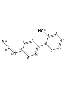 N#Cc1ccccc1-c1ccc(N=C=S)cn1